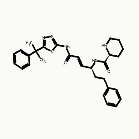 CC(C)(c1ccccc1)c1nnc(NC(=O)/C=C/[C@H](CCc2ccccc2)NC(=O)[C@@H]2CCCCN2)s1